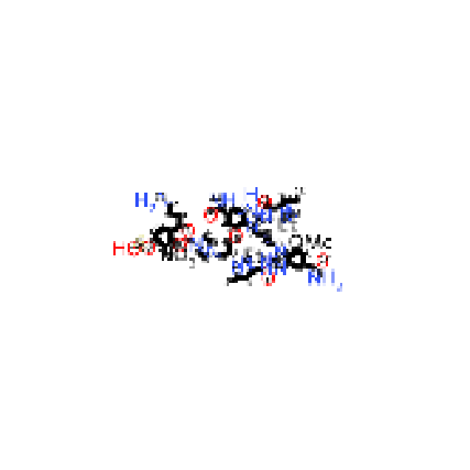 CCn1nc(C)cc1C(=O)/N=c1\[nH]c2cc(C(N)=O)cc(OC)c2n1C/C=C/Cn1/c(=N/C(=O)c2cc(C)nn2CC)[nH]c2cc(C(N)=O)cc(OCCCN3CCN(C(=O)OC(CCCN)c4ccc(OSO)c([N+](=O)[O-])c4)CC3)c21